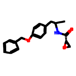 CC(Cc1ccc(OCc2ccccc2)cc1)NC(=O)[C@@H]1CO1